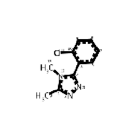 Cc1nnc(-c2ccccc2Cl)n1C